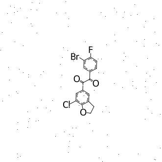 O=C(C(=O)c1cc(Cl)c2c(c1)CCO2)c1ccc(F)c(Br)c1